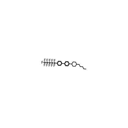 CCCCCC1CCC(c2ccc(-c3ccc(C(F)(F)C(F)(F)C(F)(F)C(F)(F)C(F)(F)F)cc3)cc2)CC1